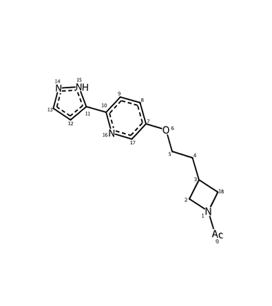 CC(=O)N1CC(CCOc2ccc(-c3ccn[nH]3)nc2)C1